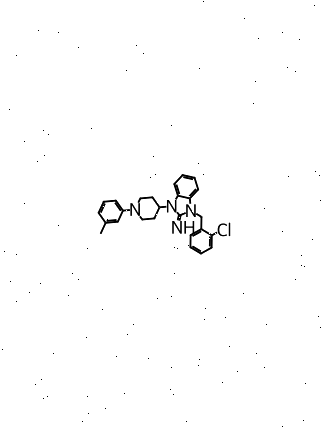 Cc1cccc(N2CCC(n3c(=N)n(Cc4ccccc4Cl)c4ccccc43)CC2)c1